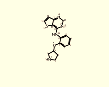 c1ccc(OC2CCNC2)c(NC2=c3sccc3=NCN2)c1